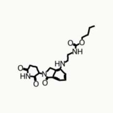 CCCCOC(=O)NCCNc1cccc2c1CN(C1CCC(=O)NC1=O)C2=O